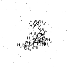 CC(C)C1=Cc2c(C=C[Si](C)(C)C)cccc2[CH]1[Zr]([Cl])([Cl])([CH]1C(C(C)C)=Cc2c(C=C[Si](C)(C)C)cccc21)[SiH](C)C